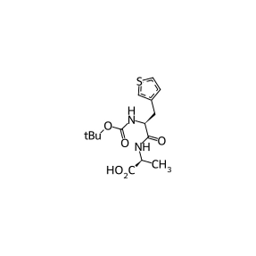 C[C@H](NC(=O)[C@H](Cc1ccsc1)NC(=O)OC(C)(C)C)C(=O)O